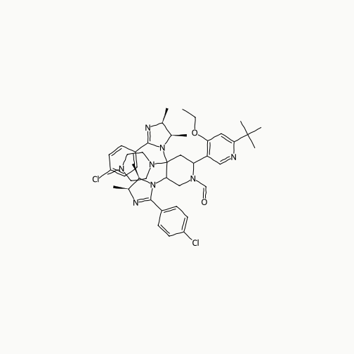 CCOc1cc(C(C)(C)C)ncc1C1CC(N2CCN(C)CC2)(N2C(c3ccc(Cl)cc3)=N[C@@H](C)[C@H]2C)C(N2C(c3ccc(Cl)cc3)=N[C@@H](C)[C@H]2C)CN1C=O